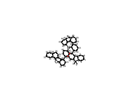 CC1(C)c2ccccc2-c2c(-c3ccccc3N(c3ccc(-c4cccc5oc6c7ccccc7ccc6c45)cc3)c3cccc4sc5ccccc5c34)cccc21